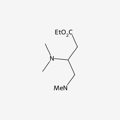 CCOC(=O)CC(CNC)N(C)C